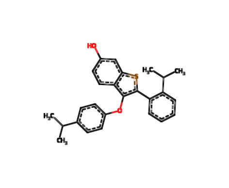 CC(C)c1ccc(Oc2c(-c3ccccc3C(C)C)sc3cc(O)ccc23)cc1